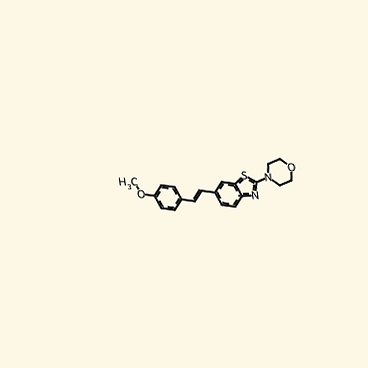 COc1ccc(/C=C/c2ccc3nc(N4CCOCC4)sc3c2)cc1